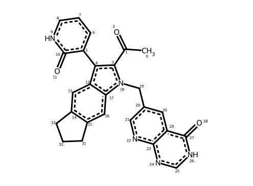 CC(=O)c1c(-c2ccc[nH]c2=O)c2cc3c(cc2n1Cc1cnc2nc[nH]c(=O)c2c1)CCC3